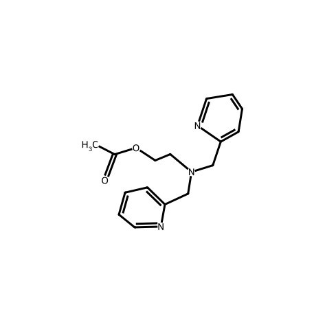 CC(=O)OCCN(Cc1ccccn1)Cc1ccccn1